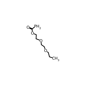 CCCOCCOCCOC(=O)P